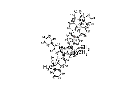 CC(C)(C)CC(c1ccc(-c2ccc3c(c2)C2(c4ccccc4-3)c3ccccc3-c3ccc(-c4ccc5c(c4)C(C)(C)c4ccc(N(c6ccc(-c7ccccc7)cc6)c6ccc7c(c6)C(C)(C)c6ccccc6-7)cc4-5)cc32)cc1)C(C)(C)C